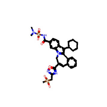 CN(C)S(=O)(=O)NC(=O)c1ccc2c(C3CCCCC3)c3n(c2c1)CC(c1nc(CS(C)(=O)=O)no1)=Cc1ccccc1-3